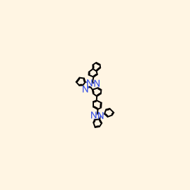 c1ccc(-n2c(-c3ccc(-c4ccc5nc(-c6ccc7ccccc7c6)n6c7ccccc7nc6c5c4)cc3)nc3ccccc32)cc1